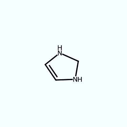 C1=CNCN1